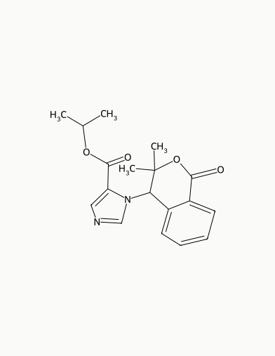 CC(C)OC(=O)c1cncn1C1c2ccccc2C(=O)OC1(C)C